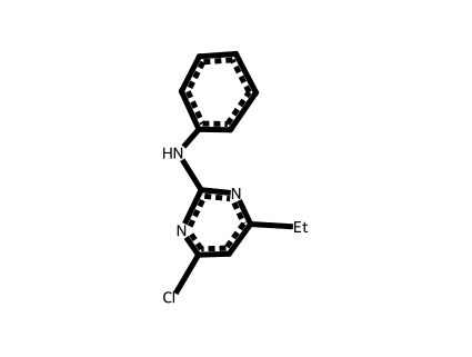 CCc1cc(Cl)nc(Nc2ccccc2)n1